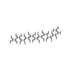 II(I)I(I)I(I)I(I)I(I)I(I)I(I)I(I)I(I)I(I)I(I)I(I)I(I)I(I)I(I)I(I)I(I)I(I)I(I)I(I)I(I)I(I)I